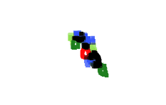 Fc1cc(Cl)cnc1OCCNc1ncnc(C(F)F)c1Cl